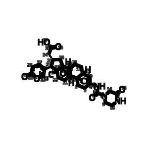 C[C@]12CC[C@H](NC(=O)N3CCNC(=O)C3)C[C@H]1CC[C@@H]1[C@@H]2CC[C@]2(C)[C@@H](c3ccc(=O)oc3)[C@H](CC(=O)O)C[C@]12O